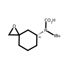 CC(C)(C)N(C(=O)O)[C@@H]1CCCC2(CO2)C1